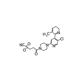 CC1=CCCN=C1c1cc(N2CCN(C(=O)CCS(=O)(=O)C#N)CC2)ncc1Cl